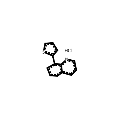 Cl.c1csc(-c2cccc3cccnc23)c1